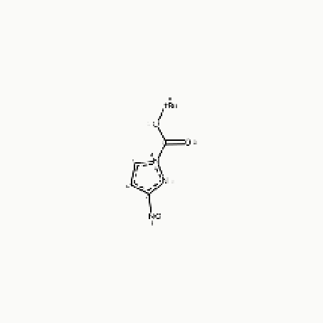 CC(C)(C)OC(=O)n1ccc(N=O)n1